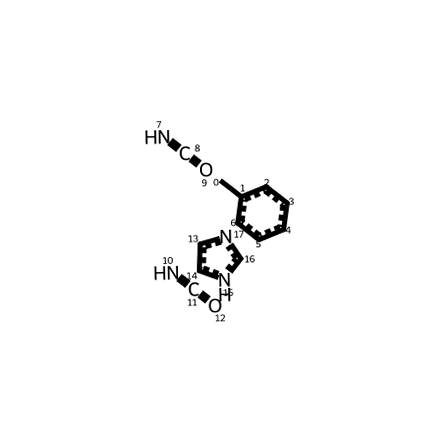 Cc1ccccc1.N=C=O.N=C=O.c1c[nH]cn1